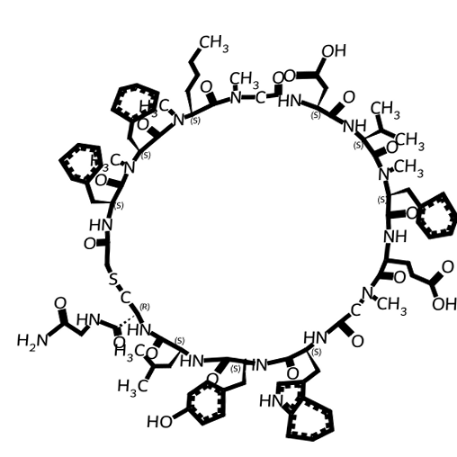 CCCC[C@H]1C(=O)N(C)CC(=O)N[C@@H](CC(=O)O)C(=O)N[C@@H](C(C)C)C(=O)N(C)[C@@H](Cc2ccccc2)C(=O)NC(CCC(=O)O)C(=O)N(C)CC(=O)N[C@@H](Cc2c[nH]c3ccccc23)C(=O)N[C@@H](Cc2ccc(O)cc2)C(=O)N[C@@H](CC(C)C)C(=O)N[C@H](C(=O)NCC(N)=O)CSCC(=O)N[C@@H](Cc2ccccc2)C(=O)N(C)[C@@H](Cc2ccccc2)C(=O)N1C